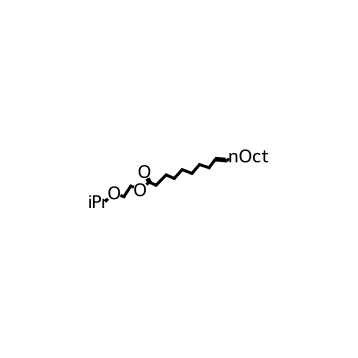 CCCCCCCC/C=C/CCCCCCCC(=O)OCCOC(C)C